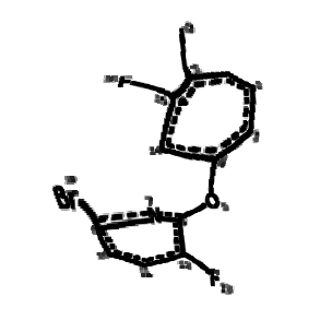 Cc1ccc(Oc2nc(Br)ccc2F)cc1F